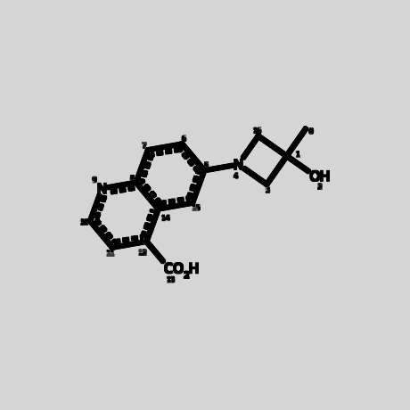 CC1(O)CN(c2ccc3nccc(C(=O)O)c3c2)C1